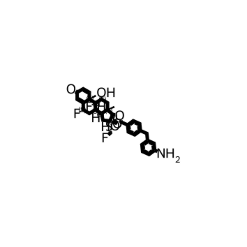 C[C@]12C=CC(=O)C=C1[C@@H](F)C[C@H]1[C@@H]3C[C@H]4OC(c5ccc(Cc6cccc(N)c6)cc5)O[C@@]4(C(=O)SCF)[C@@]3(C)C[C@H](O)[C@@]12F